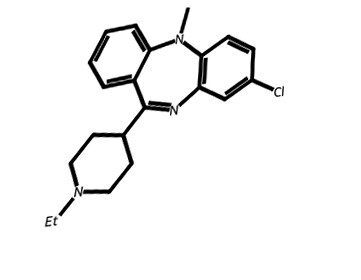 CCN1CCC(C2=Nc3cc(Cl)ccc3N(C)c3ccccc32)CC1